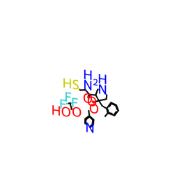 Cc1ccccc1CC1(C(=O)OCc2ccncc2)CCNCC1C(=O)[C@@H](N)CS.O=C(O)C(F)(F)F